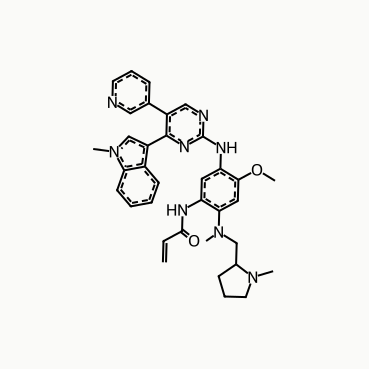 C=CC(=O)Nc1cc(Nc2ncc(-c3cccnc3)c(-c3cn(C)c4ccccc34)n2)c(OC)cc1N(C)CC1CCCN1C